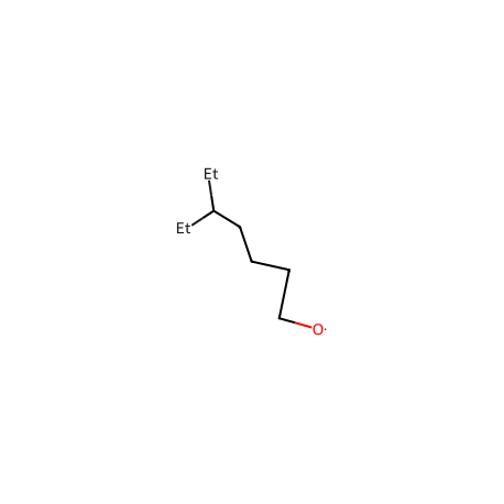 CCC(CC)CCCC[O]